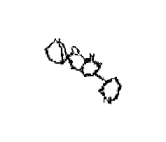 c1cncc(-c2cnc3c(c2)CC2(CN4CCC2CC4)O3)c1